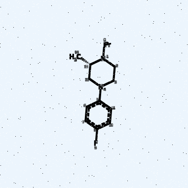 CC(C)N1CCN(c2ccc(F)cc2)C[C@@H]1C